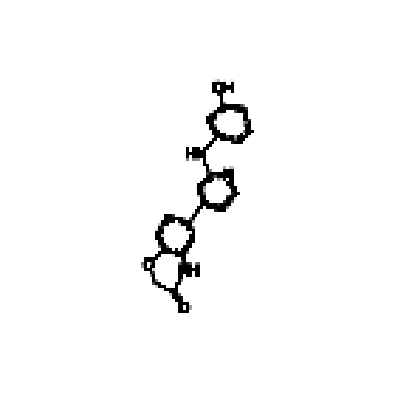 O=C1COc2ccc(-c3ccnc(Nc4cccc(O)c4)c3)cc2N1